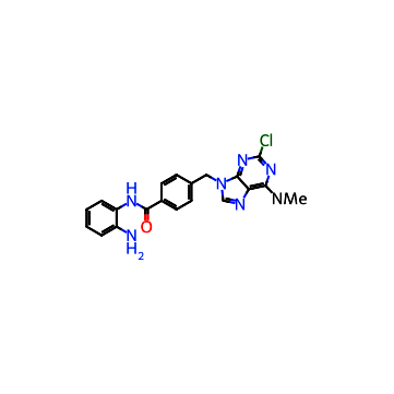 CNc1nc(Cl)nc2c1ncn2Cc1ccc(C(=O)Nc2ccccc2N)cc1